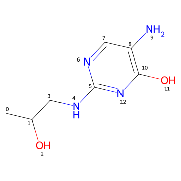 CC(O)CNc1ncc(N)c(O)n1